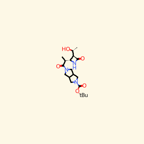 CC(C(=O)N1CC2CN(C(=O)OC(C)(C)C)CC2C1)[C@H]1NC(=O)[C@@H]1[C@@H](C)O